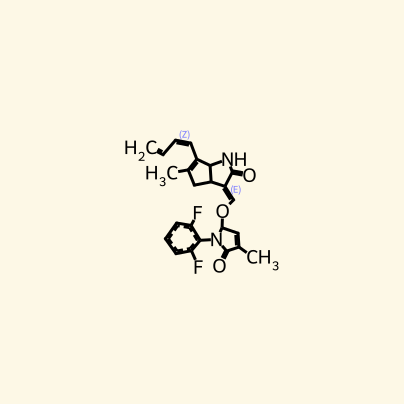 C=C/C=C\C1=C(C)CC2/C(=C\OC3C=C(C)C(=O)N3c3c(F)cccc3F)C(=O)NC12